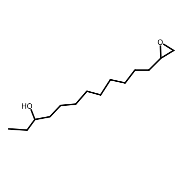 CCC(O)CCCCCCCCCC1CO1